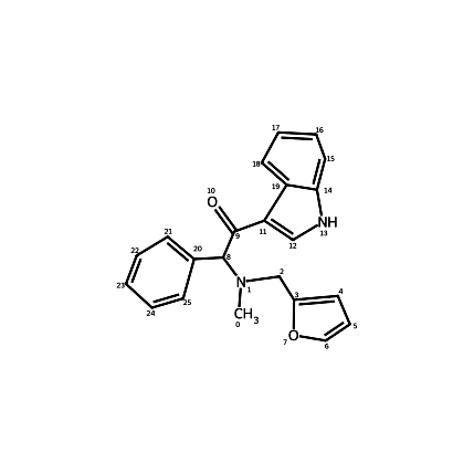 CN(Cc1ccco1)C(C(=O)c1c[nH]c2ccccc12)c1ccccc1